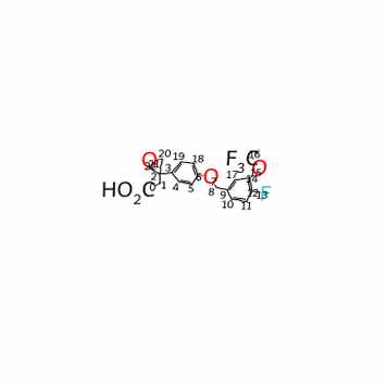 O=C(O)CC1(c2ccc(OCc3ccc(F)c(OC(F)(F)F)c3)cc2)COC1